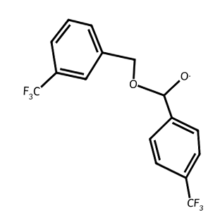 [O]C(OCc1cccc(C(F)(F)F)c1)c1ccc(C(F)(F)F)cc1